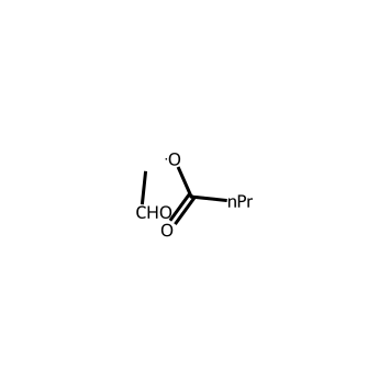 CC=O.CCCC([O])=O